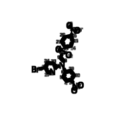 O=[N+]([O-])c1ccc(N(C=CS(=O)(=O)c2ccc([N+](=O)[O-])cc2)c2ccc(Br)cn2)cc1